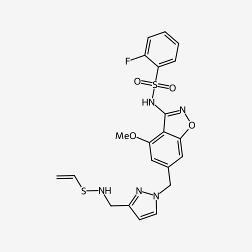 C=CSNCc1ccn(Cc2cc(OC)c3c(NS(=O)(=O)c4ccccc4F)noc3c2)n1